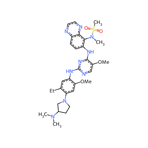 CCc1cc(Nc2ncc(OC)c(Nc3ccc4nccnc4c3N(C)S(C)(=O)=O)n2)c(OC)cc1N1CCC(N(C)C)C1